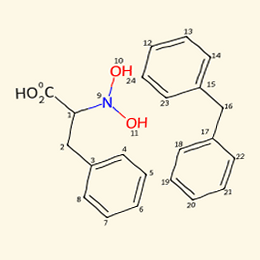 O=C(O)C(Cc1ccccc1)N(O)O.c1ccc(Cc2ccccc2)cc1